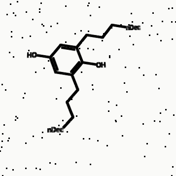 CCCCCCCCCCCCCc1cc(O)cc(CCCCCCCCCCCCC)c1O